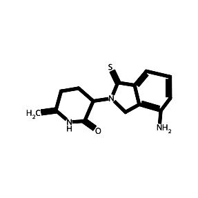 C=C1CCC(N2Cc3c(N)cccc3C2=S)C(=O)N1